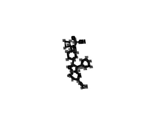 C#Cc1cnc2oc(-c3ccc(C4(NC(=O)O)CCC4)cc3)c(-c3ccccc3)c2n1